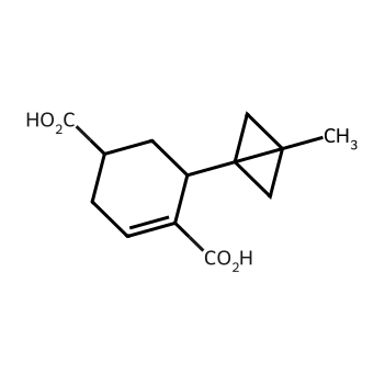 CC12CC1(C1CC(C(=O)O)CC=C1C(=O)O)C2